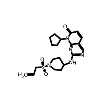 C=CCS(=O)(=O)N1CCC(Nc2ncc3ccc(=O)n(C4CCCC4)c3n2)CC1